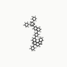 c1ccc(-c2nc(-c3ccccc3)nc(-c3ccc4c(-c5ccc(-c6ccc7nc(-c8ccccc8)c8ccc9sc%10ccccc%10c9c8c7c6)cc5)cccc4c3)n2)cc1